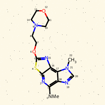 CNc1nc2sc(OCCN3CCOCC3)nc2c2c1ncn2C